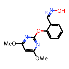 COc1cc(OC)nc(Oc2ccccc2/C=N\O)n1